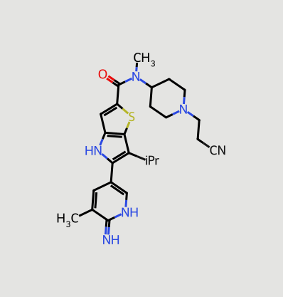 Cc1cc(-c2[nH]c3cc(C(=O)N(C)C4CCN(CCC#N)CC4)sc3c2C(C)C)c[nH]c1=N